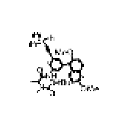 COc1ccc2c(-c3cc(C#C[Si](C(C)C)(C(C)C)C(C)C)nc(NC(=O)C(C)N(C)C(=O)OC(C)(C)C)c3)c(OC)ccc2n1